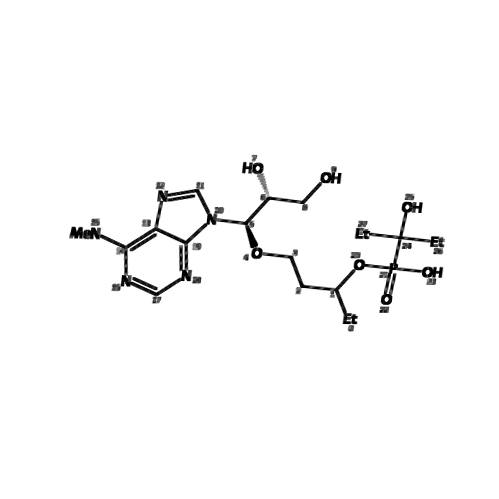 CCC(CCO[C@H]([C@H](O)CO)n1cnc2c(NC)ncnc21)OP(=O)(O)C(O)(CC)CC